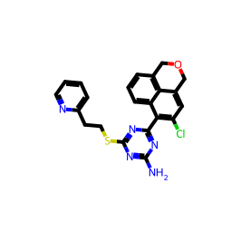 Nc1nc(SCCc2ccccn2)nc(-c2c(Cl)cc3c4c(cccc24)COC3)n1